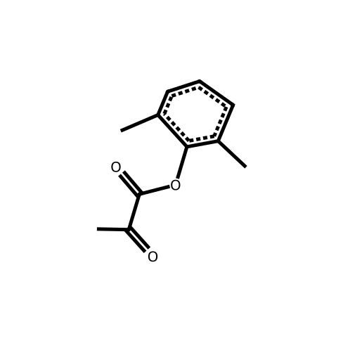 CC(=O)C(=O)Oc1c(C)cccc1C